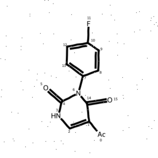 CC(=O)c1c[nH]c(=O)n(-c2ccc(F)cc2)c1=O